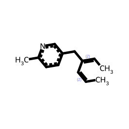 C/C=C\C(=C/C)Cc1ccc(C)nc1